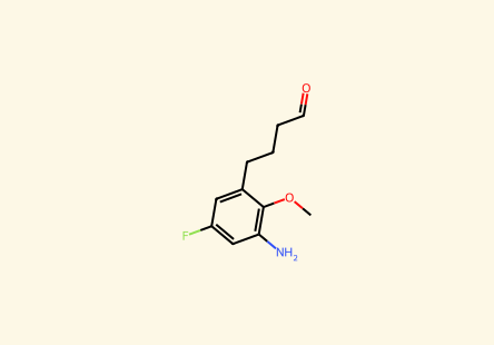 COc1c(N)cc(F)cc1CCCC=O